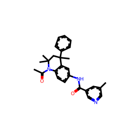 CC(=O)N1c2ccc(NC(=O)c3cncc(C)c3)cc2C(C)(c2ccccc2)CC1(C)C